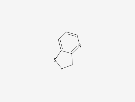 [CH]1Cc2ncccc2S1